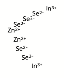 [In+3].[In+3].[Se-2].[Se-2].[Se-2].[Se-2].[Se-2].[Zn+2].[Zn+2]